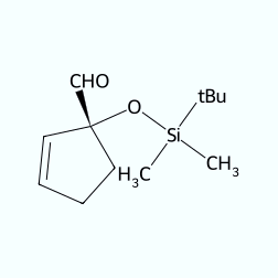 CC(C)(C)[Si](C)(C)O[C@@]1(C=O)C=CCC1